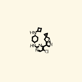 Clc1cnc(N[C@H]2CC[C@H](NC3CCC3)CC2)nc1-c1cnn2c1CC1(CC1)C2